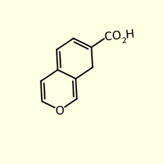 O=C(O)C1=CC=C2C=COC=C2C1